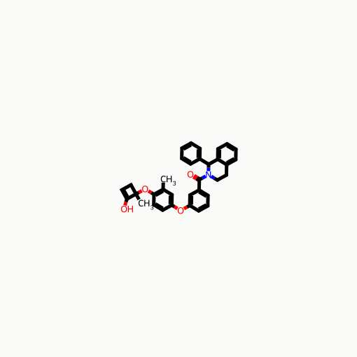 Cc1cc(Oc2cccc(C(=O)N3CCc4ccccc4C3c3ccccc3)c2)ccc1OC1(C)CC=C1O